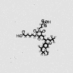 CCN1c2cc3c(cc2C(C)=CC1(C)C)/C(=C/C=C1\C(=O)N(CCCCCC(=O)O)C(=O)N(CCCS(=O)(=O)O)C1=O)C=C(C(C)(C)C)O3